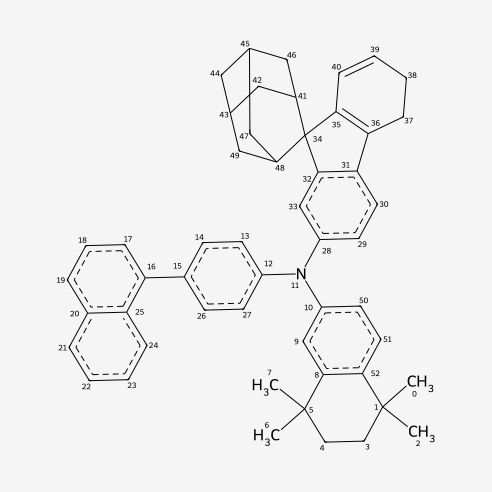 CC1(C)CCC(C)(C)c2cc(N(c3ccc(-c4cccc5ccccc45)cc3)c3ccc4c(c3)C3(C5=C4CCC=C5)C4CC5CC(C4)CC3C5)ccc21